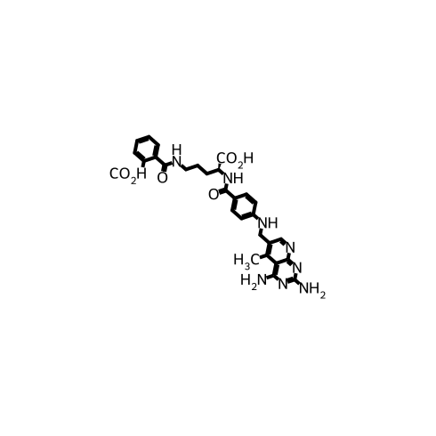 Cc1c(CNc2ccc(C(=O)N[C@@H](CCCNC(=O)c3ccccc3C(=O)O)C(=O)O)cc2)cnc2nc(N)nc(N)c12